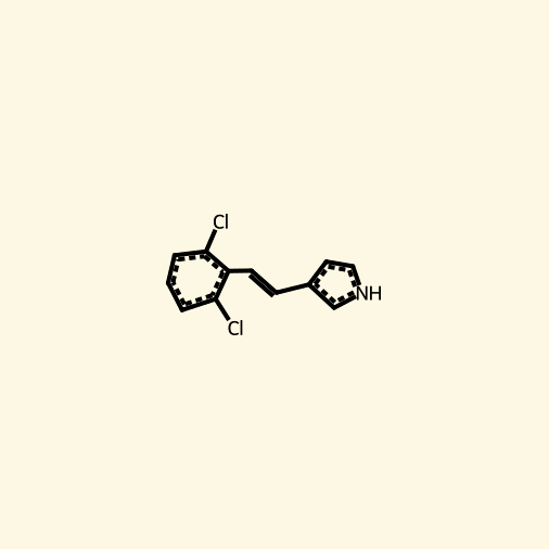 Clc1cccc(Cl)c1C=Cc1cc[nH]c1